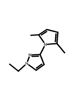 CCn1ccc(-n2c(C)ccc2C)n1